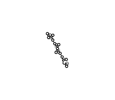 C(=C/c1coc2ccccc12)/C=C/N(c1ccccc1)c1ccc(-c2ccc3c(c2)c2cccc4c5cc6c(cc5n3c24)c2cccc3c4cc(-c5ccc(N(c7ccccc7)c7cccc8c7oc7ccccc78)cc5)ccc4n6c32)cc1